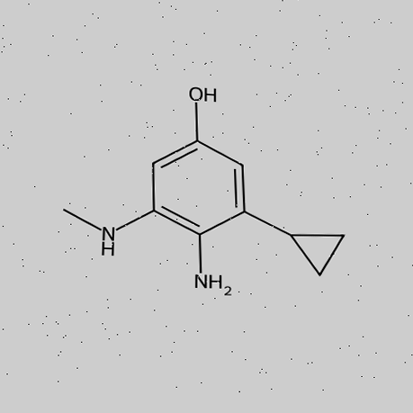 CNc1cc(O)cc(C2CC2)c1N